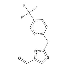 O=Cc1csc(Cc2ccc(C(F)(F)F)cc2)n1